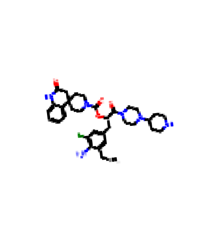 CCc1cc(C[C@@H](OC(=O)N2CCC3(CC2)CC(=O)Nc2ccccc23)C(=O)N2CCN(C3CCNCC3)CC2)cc(Cl)c1N